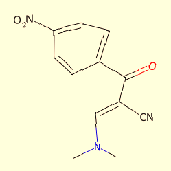 CN(C)C=C(C#N)C(=O)c1ccc([N+](=O)[O-])cc1